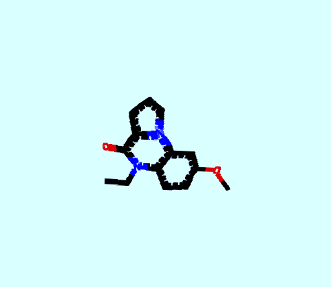 CCn1c(=O)c2cccn2c2cc(OC)ccc21